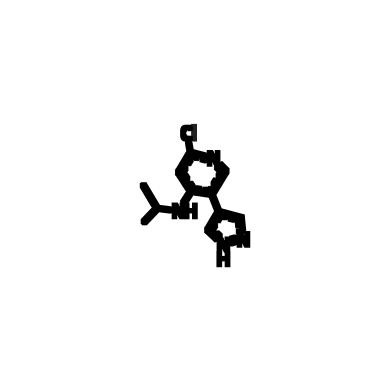 CC(C)Nc1cc(Cl)ncc1-c1cn[nH]c1